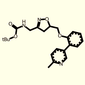 Cc1ccc(-c2ccccc2OCC2CC(CNC(=O)OC(C)(C)C)=NO2)cn1